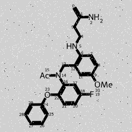 C=C(N)CCNc1ccc(OC)cc1CN(C(C)=O)c1cc(F)ccc1Oc1ccccc1